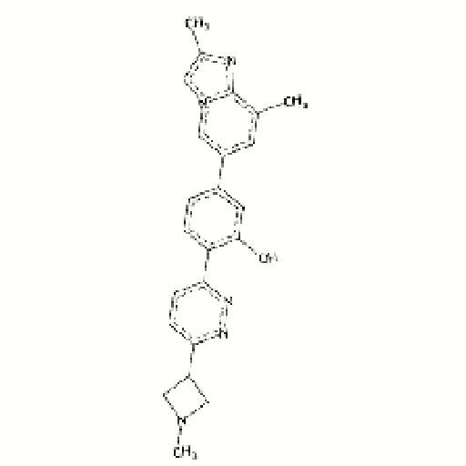 Cc1cn2cc(-c3ccc(-c4ccc(C5CN(C)C5)nn4)c(O)c3)cc(C)c2n1